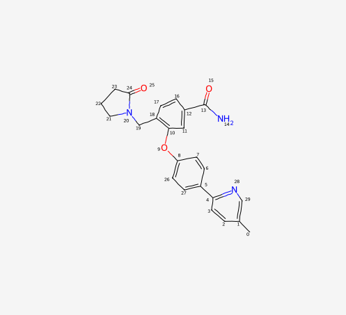 Cc1ccc(-c2ccc(Oc3cc(C(N)=O)ccc3CN3CCCC3=O)cc2)nc1